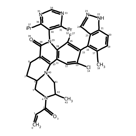 C=CC(=O)N1CC2CCc3c(c4cc(Cl)c(-c5c(C)ccc6[nH]ncc56)c(F)c4n(-c4c(C(C)C)ncnc4C(C)C)c3=O)N2CC1C